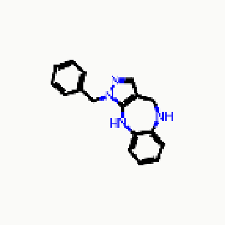 c1ccc(Cn2ncc3c2Nc2ccccc2NC3)cc1